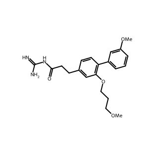 COCCCOc1cc(CCC(=O)NC(=N)N)ccc1-c1cccc(OC)c1